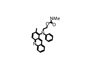 CNC(=O)OCCN(c1ccccc1)c1c(C)ccc2nc3ccccc3cc12